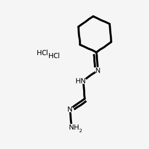 Cl.Cl.NN=CNN=C1CCCCC1